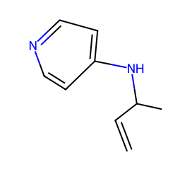 C=CC(C)Nc1ccncc1